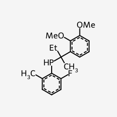 CCC(C)(Pc1c(C)cccc1F)c1cccc(OC)c1OC